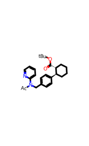 CC(=O)N(Cc1ccc([C@@H]2CCCC[C@H]2C(=O)OC(C)(C)C)cc1)c1ccccn1